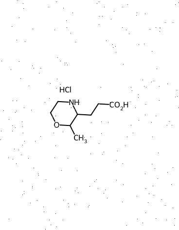 CC1OCCNC1CCC(=O)O.Cl